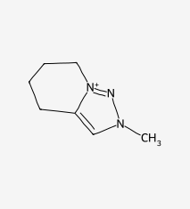 Cn1cc2[n+](n1)CCCC2